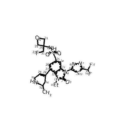 CCn1c(=O)n(-c2nnc(C(F)F)s2)c2cc(S(=O)(=O)NC3(CF)COC3)cc(C3=CCNC(C)C3)c21